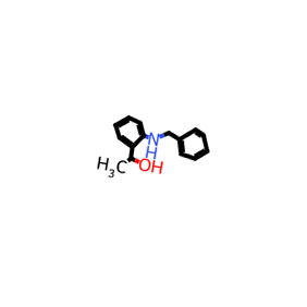 CC(O)c1ccccc1NCc1ccccc1